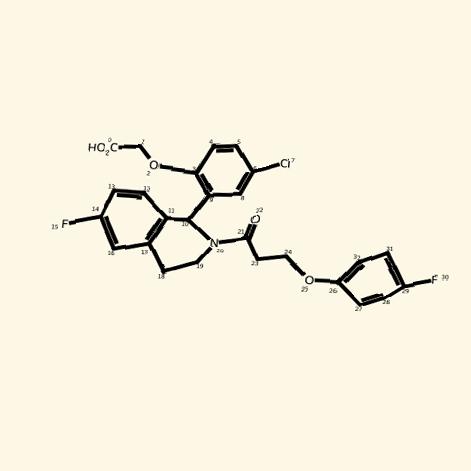 O=C(O)COc1ccc(Cl)cc1C1c2ccc(F)cc2CCN1C(=O)CCOc1ccc(F)cc1